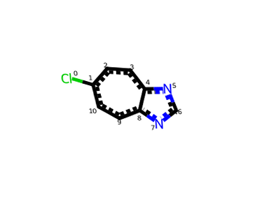 Clc1ccc2n[c]nc-2cc1